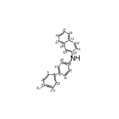 Cc1ccc(-c2ccc(Nc3ccc4ccccc4c3)cc2)cc1